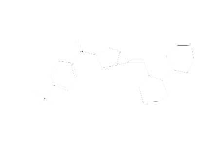 CC(C)(C)c1ccc(C(=O)N2CC3C(CC4C[CH]CCN4C4CCOCC4)C3C2)cc1